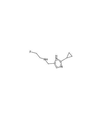 FCCNCc1cnc(C2CC2)[nH]1